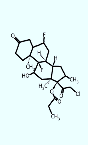 CCC(=O)O[C@]1(C(=O)CCl)C(C)C[C@H]2[C@@H]3CC(F)C4CC(=O)CC[C@]4(C)[C@@]3(F)C(O)C[C@@]21C